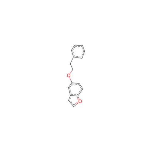 c1ccc(CCOc2ccc3occc3c2)cc1